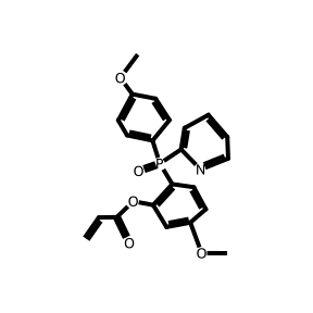 C=CC(=O)Oc1cc(OC)ccc1P(=O)(c1ccc(OC)cc1)c1ccccn1